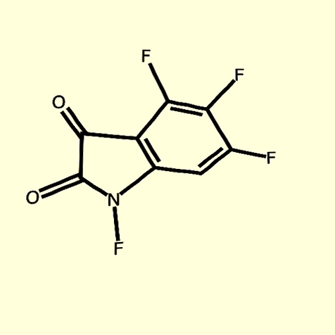 O=C1C(=O)N(F)c2cc(F)c(F)c(F)c21